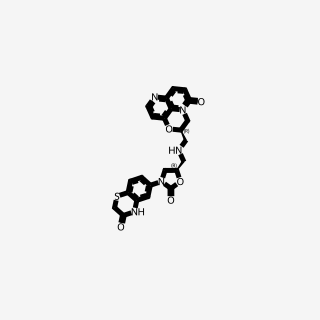 O=C1CSc2ccc(N3C[C@@H](CNC[C@@H]4Cn5c(=O)ccc6nccc(c65)O4)OC3=O)cc2N1